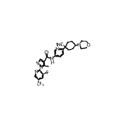 Cc1c(C(=O)Nc2ccc(C3(C#N)CCC(N4CCOCC4)CC3)nc2)cnn1-c1ncc(C(F)(F)F)cc1F